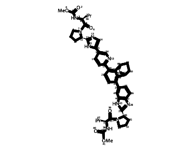 COC(=O)N[C@H](C(=O)N1CCC[C@H]1c1ncc(-c2ccc(-c3ccc(-c4ccc5nc([C@@H]6CCCN6C(=O)[C@@H](NC(=O)OC)C(C)C)[nH]c5c4)c4c3C3CCC4O3)nc2)[nH]1)C(C)C